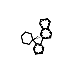 OC1(c2ccccc2-c2ccc3ccccc3c2)CCCCC1